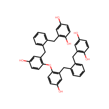 Oc1ccc(O)c(Cc2ccccc2Cc2cc(O)ccc2Oc2ccc(O)cc2Cc2ccccc2Cc2cc(O)ccc2O)c1